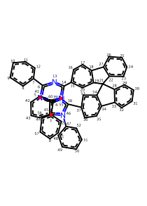 c1ccc(-c2nc(-c3ccccc3)nc(-c3ccc4c(c3)C3(c5ccccc5-4)c4ccccc4-c4ccc(-c5nc6ccccc6n5-c5ccccc5)cc43)n2)cc1